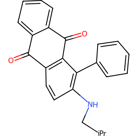 CC(C)CNc1ccc2c(c1-c1ccccc1)C(=O)c1ccccc1C2=O